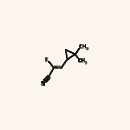 CC1(C)CC1C=C(F)C#N